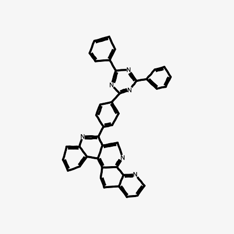 c1ccc(-c2nc(-c3ccccc3)nc(-c3ccc(-c4nc5ccccc5c5c4cnc4c5ccc5cccnc54)cc3)n2)cc1